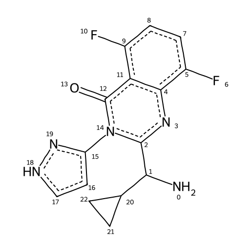 NC(c1nc2c(F)ccc(F)c2c(=O)n1-c1cc[nH]n1)C1CC1